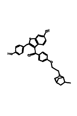 CC1CC2CC1N(CCOc1ccc(C(=O)c3c(-c4ccc(O)cc4)sc4cc(O)ccc34)cc1)C2